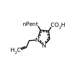 C=CCn1ncc(C(=O)O)c1CCCCC